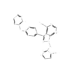 Nc1ncnc2c1c(-c1ccc(Oc3ccccc3)cc1)nn2Cc1ccccc1F